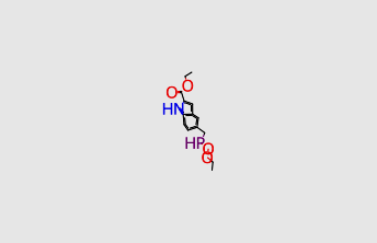 CCOOPCc1ccc2[nH]c(C(=O)OCC)cc2c1